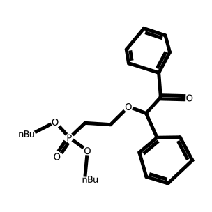 CCCCOP(=O)(CCOC(C(=O)c1ccccc1)c1ccccc1)OCCCC